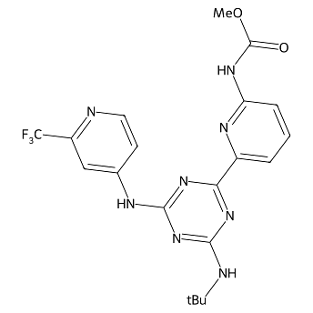 COC(=O)Nc1cccc(-c2nc(Nc3ccnc(C(F)(F)F)c3)nc(NC(C)(C)C)n2)n1